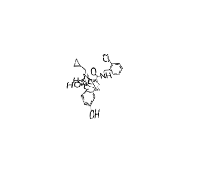 O=C(NCc1ccccc1Cl)[C@H]1C[C@@]2(O)[C@@H]3N(CC4CC4)C4C5C43Cc3ccc(O)cc3[C@]52C1